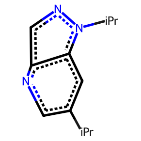 CC(C)c1cnc2cnn(C(C)C)c2c1